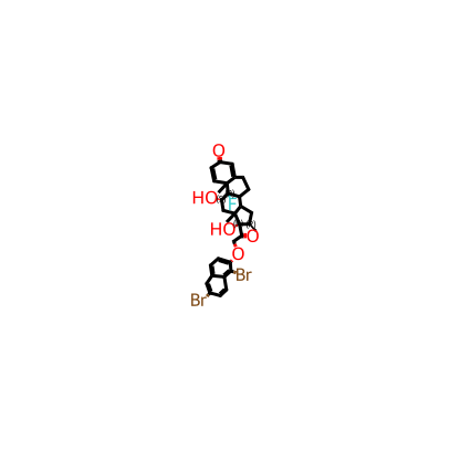 C[C@@H]1CC2C3CCC4=CC(=O)C=CC4(C)[C@@]3(F)[C@@H](O)CC2(C)[C@@]1(O)C(=O)COc1ccc2cc(Br)ccc2c1Br